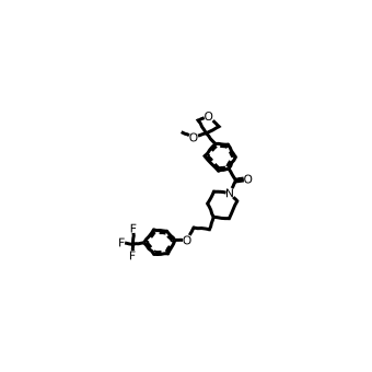 COC1(c2ccc(C(=O)N3CCC(CCOc4ccc(C(F)(F)F)cc4)CC3)cc2)COC1